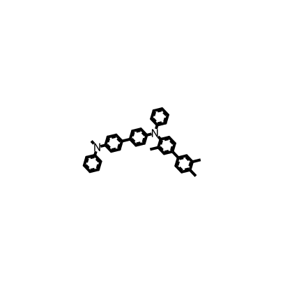 Cc1ccc(-c2ccc(N(c3ccccc3)c3ccc(-c4ccc(N(C)c5ccccc5)cc4)cc3)c(C)c2)cc1C